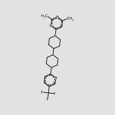 Cc1cc(N2CCC(C3CCN(c4ccc(C(F)(F)F)cn4)CC3)CC2)nc(C)n1